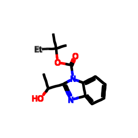 CCC(C)(C)OC(=O)n1c(C(C)O)nc2ccccc21